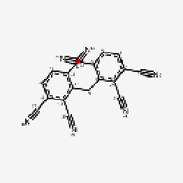 N#Cc1ccc(C#N)c([CH]c2c(C#N)ccc(C#N)c2C#N)c1C#N